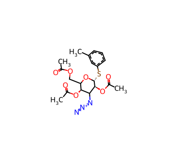 CC(=O)OCC1O[C@H](Sc2cccc(C)c2)[C@@H](OC(C)=O)C(N=[N+]=[N-])[C@H]1OC(C)=O